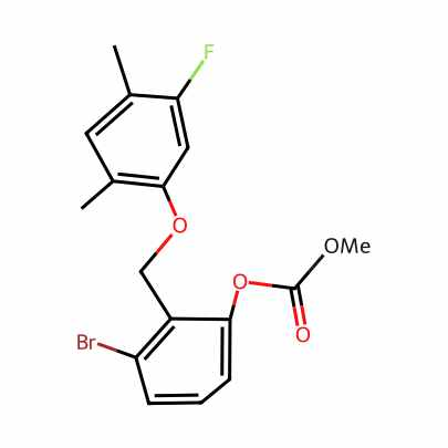 COC(=O)Oc1cccc(Br)c1COc1cc(F)c(C)cc1C